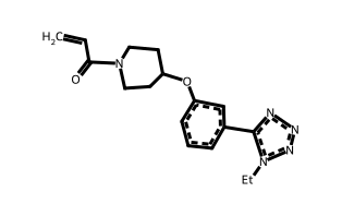 C=CC(=O)N1CCC(Oc2cccc(-c3nnnn3CC)c2)CC1